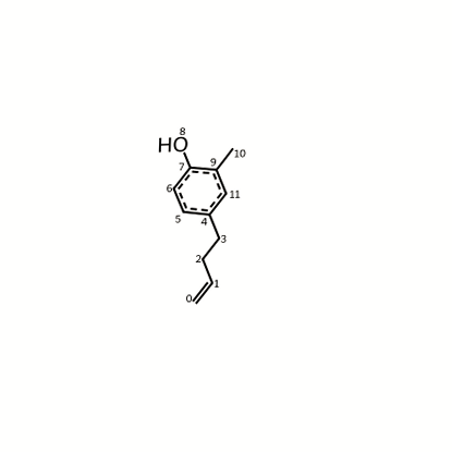 C=CCCc1ccc(O)c(C)c1